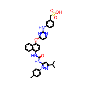 Cc1ccc(-n2nc(C(C)C)cc2NC(=O)Nc2ccc(Oc3ccnc(Nc4cccc(CS(=O)(=O)O)c4)n3)c3ccccc23)cc1